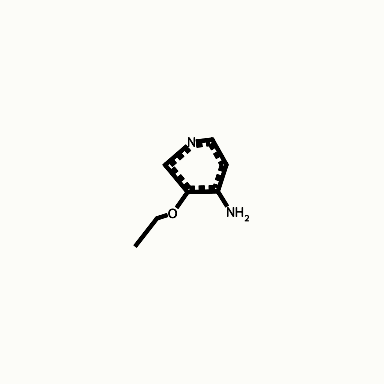 CCOc1cnccc1N